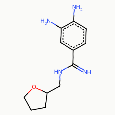 N=C(NCC1CCCO1)c1ccc(N)c(N)c1